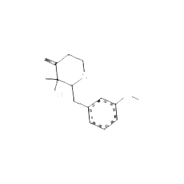 C=C1CCNC(Cc2cccc(OC)c2)C1(C)C.Cl